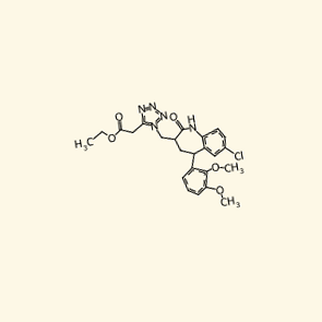 CCOC(=O)Cc1nnnn1CC1CC(c2cccc(OC)c2OC)c2cc(Cl)ccc2NC1=O